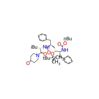 CCCCOC(=O)N[C@@H](Cc1ccccc1)[C@@H](C[C@H](Cc1ccccc1)C(=O)N[C@H](C(=O)N1CCC(=O)CC1)[C@@H](C)CC)O[Si](C)(C)C(C)(C)C